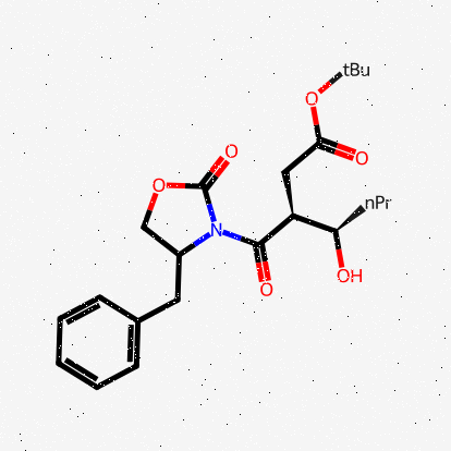 CCC[C@@H](O)[C@H](CC(=O)OC(C)(C)C)C(=O)N1C(=O)OCC1Cc1ccccc1